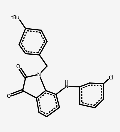 CC(C)(C)c1ccc(CN2C(=O)C(=O)c3cccc(Nc4cccc(Cl)c4)c32)cc1